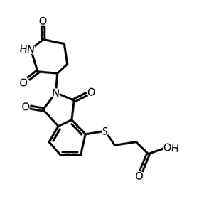 O=C(O)CCSc1cccc2c1C(=O)N(C1CCC(=O)NC1=O)C2=O